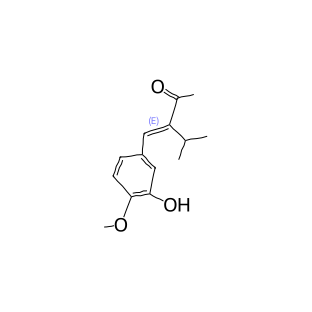 COc1ccc(/C=C(/C(C)=O)C(C)C)cc1O